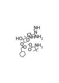 CC(C)(C)[C@H](N)C(=O)OC[C@H]1O[C@@](C)(c2ccc(/C(N)=N\C=N)[nH]2)[C@H](O)[C@@H]1OC(=O)CC1CCCCC1